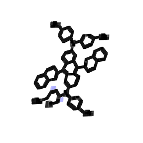 CC/C=C(\C=C/CC(C)(C)C)N(c1ccc(C(C)(C)C)cc1)c1ccc2c(-c3ccc4ccccc4c3)c3cc(N(c4ccc(C(C)(C)C)cc4)c4ccc(C(C)(C)C)cc4)ccc3c(-c3ccc4ccccc4c3)c2c1